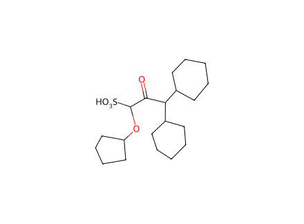 O=C(C(C1CCCCC1)C1CCCCC1)C(OC1CCCC1)S(=O)(=O)O